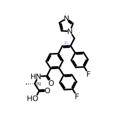 C[C@H](NC(=O)c1ccc(/C=C(/Cn2ccnc2)c2ccc(F)cc2)cc1-c1ccc(F)cc1)C(=O)O